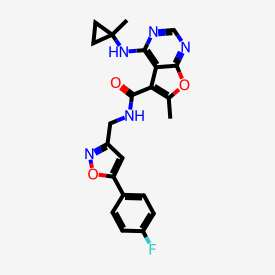 Cc1oc2ncnc(NC3(C)CC3)c2c1C(=O)NCc1cc(-c2ccc(F)cc2)on1